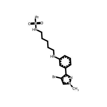 CC(C)S(=O)(=O)NCCCCCNc1cccc(-c2nn(C)cc2Br)c1